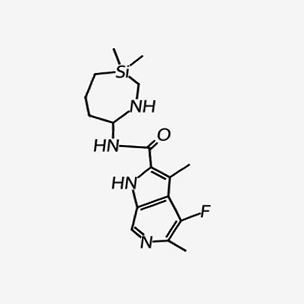 Cc1ncc2[nH]c(C(=O)NC3CCC[Si](C)(C)CN3)c(C)c2c1F